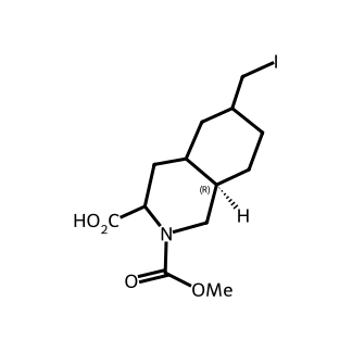 COC(=O)N1C[C@@H]2CCC(CI)CC2CC1C(=O)O